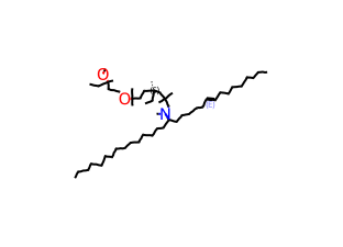 CCCCCCCC/C=C/CCCCCC(CCCCCCCCCCCCCCC)N(C)CC(C)(C)C[C@@](C)(CC)CCC(C)(C)OCCC(C)(CC)OC